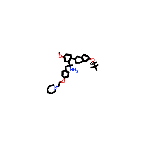 COc1ccc(C2CCc3cc(O[Si](C)(C)C(C)(C)C)ccc3C2)c(C(C)(N)Cc2ccc(OCCN3CCCCCC3)cc2)c1